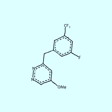 COc1cnnc(Cc2cc(F)cc(C(F)(F)F)c2)c1